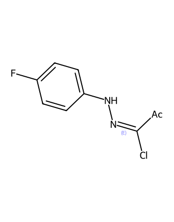 CC(=O)/C(Cl)=N\Nc1ccc(F)cc1